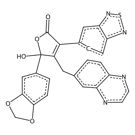 O=C1OC(O)(c2ccc3c(c2)OCO3)C(Cc2ccc3nccnc3c2)=C1c1ccc2nsnc2c1